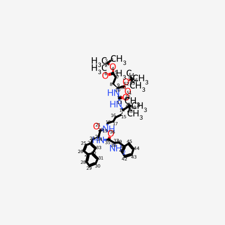 CC(C)(C)OC(=O)CC[C@H](NC(=O)N[C@@H](CCCCNC(=O)[C@H](Cc1ccc2ccccc2c1)NC(=O)[C@@H](N)Cc1ccccc1)C(C)(C)C)C(=O)OC(C)(C)C